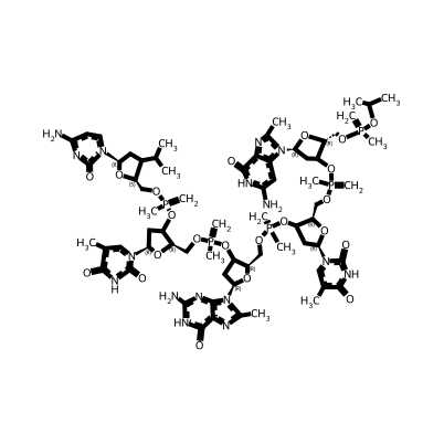 C=P(C)(OC[C@H]1O[C@@H](n2c(C)nc3c(=O)[nH]c(N)cc32)CC1OP(=C)(C)OC[C@H]1O[C@@H](n2cc(C)c(=O)[nH]c2=O)CC1OP(=C)(C)OC[C@H]1O[C@@H](n2c(C)nc3c(=O)[nH]c(N)nc32)CC1OP(=C)(C)OC[C@H]1O[C@@H](n2cc(C)c(=O)[nH]c2=O)CC1OP(=C)(C)OC[C@H]1O[C@@H](n2ccc(N)nc2=O)CC1C(C)C)OC(C)C